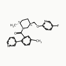 Cc1ccc(-c2cccnc2)c(C(=O)N2C[C@H](COc3ccc(F)cn3)CC[C@H]2C)c1